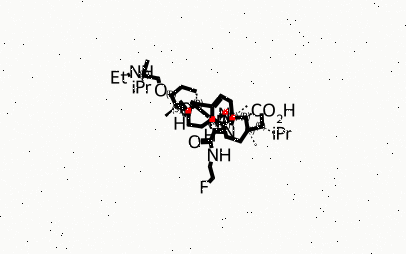 CCN[C@@](C)(CO[C@@H]1CC[C@]23C4=CC[C@@]5(C)[C@H](C(=O)O)[C@@](C)([C@H](C)C(C)C)CC[C@]5(C)[C@H]4CC[C@@H]2[C@@]1(C)COC3n1ncnc1C(=O)NCCF)C(C)C